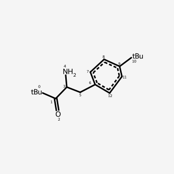 CC(C)(C)C(=O)C(N)Cc1ccc(C(C)(C)C)cc1